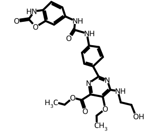 CCOC(=O)c1nc(-c2ccc(NC(=O)Nc3ccc4[nH]c(=O)oc4c3)cc2)nc(NCCO)c1OCC